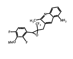 COc1c(F)ccc(C2OC2(Cc2cc3c(N)cccc3nc2C)C(F)(F)F)c1F